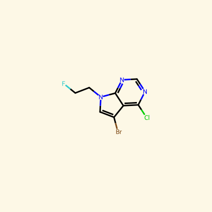 FCCn1cc(Br)c2c(Cl)ncnc21